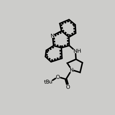 CC(C)(C)OC(=O)N1CCC(Nc2c3ccccc3nc3ccccc23)C1